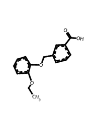 CCOc1ccccc1OCc1cccc(C(=O)O)c1